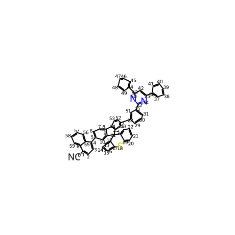 N#Cc1ccc(-c2ccc3c(c2)C2(c4ccccc4Sc4ccccc42)c2cc(-c4cccc(-c5nc(-c6ccccc6)cc(-c6ccccc6)n5)c4)ccc2-3)c2ccccc12